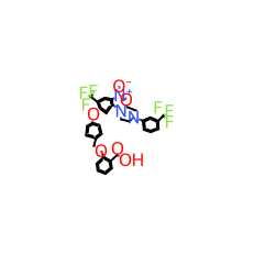 O=C(O)c1ccccc1OCc1ccc(Oc2cc(N3CCN(c4cccc(C(F)(F)F)c4)CC3)c([N+](=O)[O-])cc2C(F)(F)F)cc1